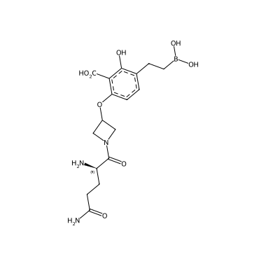 NC(=O)CC[C@@H](N)C(=O)N1CC(Oc2ccc(CCB(O)O)c(O)c2C(=O)O)C1